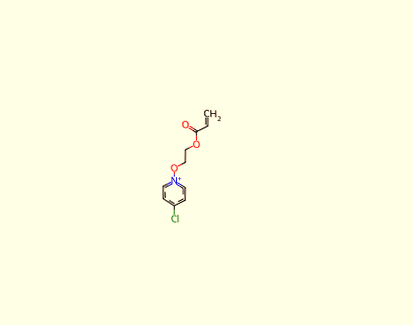 C=CC(=O)OCCO[n+]1ccc(Cl)cc1